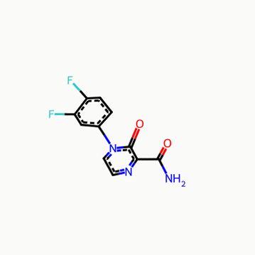 NC(=O)c1nccn(-c2ccc(F)c(F)c2)c1=O